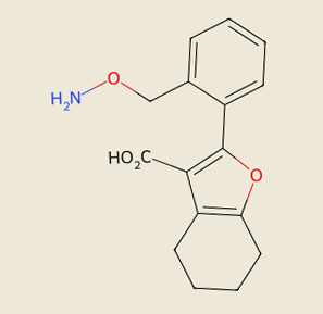 NOCc1ccccc1-c1oc2c(c1C(=O)O)CCCC2